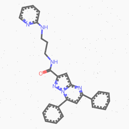 O=C(NCCCNc1ccccn1)c1cc2nc(-c3ccccc3)cc(-c3ccccc3)n2n1